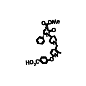 COC(=O)N1C[C@@H](c2ccccc2)N(C2CCN(Cc3ccc(Oc4ccc(C(=O)O)cc4)nc3C)CC2)C1=O